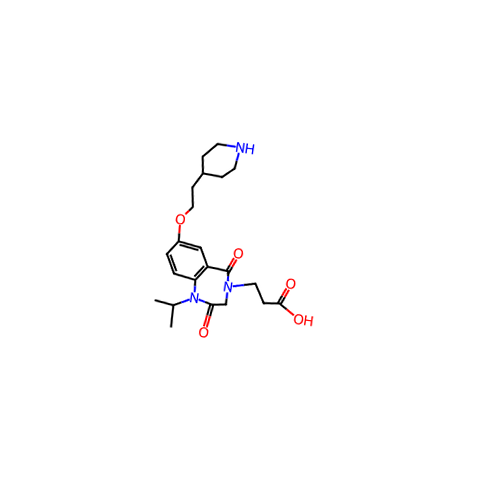 CC(C)N1C(=O)CN(CCC(=O)O)C(=O)c2cc(OCCC3CCNCC3)ccc21